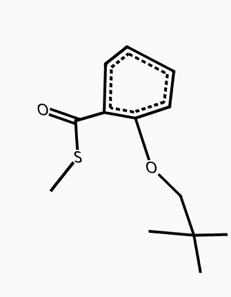 CSC(=O)c1ccccc1OCC(C)(C)C